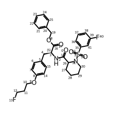 O=C(N[C@@H](Cc1ccc(OCCCF)cc1)C(=O)OCc1ccccc1)C1CCCCN1S(=O)(=O)c1cccc(F)c1